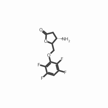 N[C@H]1CC(=O)OC1COc1c(F)c(F)cc(F)c1F